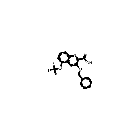 O=C(O)c1nc2cccc(OC(F)(F)F)c2cc1OCc1ccccc1